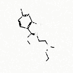 CS/C(=N\CCN(C)CCS)c1ccc(C)cc1O